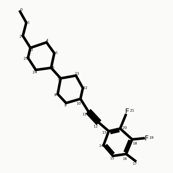 CCCC1CCC(C2CCC(C#Cc3ccc(C)c(F)c3F)CC2)CC1